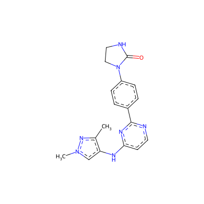 Cc1nn(C)cc1Nc1ccnc(-c2ccc(N3CCNC3=O)cc2)n1